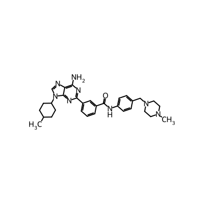 CC1CCC(n2cnc3c(N)nc(-c4cccc(C(=O)Nc5ccc(CN6CCN(C)CC6)cc5)c4)nc32)CC1